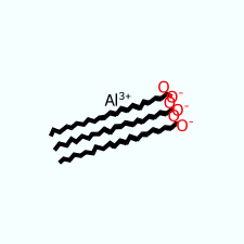 CCCCCCCCCC=CC=CC=CC=CC=CC=CC(=O)[O-].CCCCCCCCCC=CC=CC=CC=CC=CC=CC(=O)[O-].CCCCCCCCCC=CC=CC=CC=CC=CC=CC(=O)[O-].[Al+3]